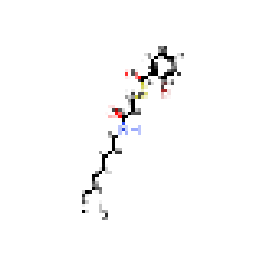 CCCCCCCCNC(=O)C=CSC(=O)c1ccccc1Br